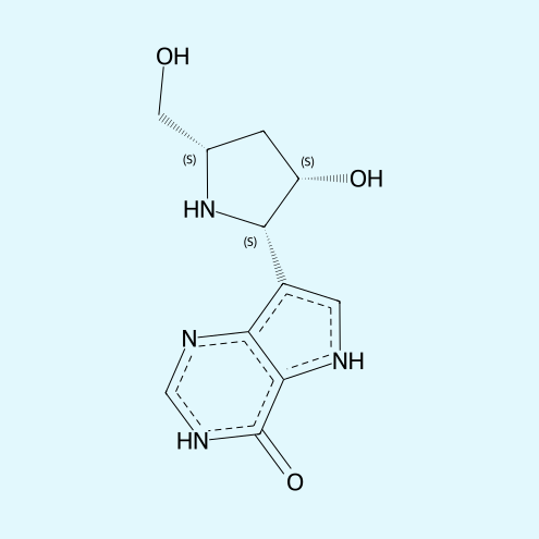 O=c1[nH]cnc2c([C@@H]3N[C@H](CO)C[C@@H]3O)c[nH]c12